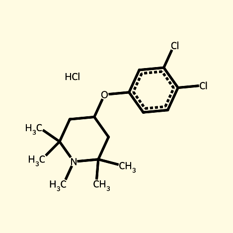 CN1C(C)(C)CC(Oc2ccc(Cl)c(Cl)c2)CC1(C)C.Cl